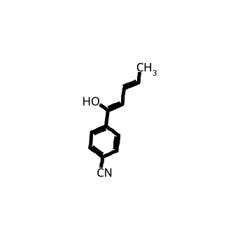 C/C=C/C=C(\O)c1ccc(C#N)cc1